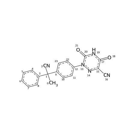 CC(C#N)(c1ccccc1)c1ccc(-n2nc(C#N)c(=O)[nH]c2=O)cc1